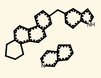 c1cc2cc(Cc3ccc4c(ccc5c6c(ccc54)CCCC6)c3)ccc2[nH]1.c1ccc2cnccc2c1